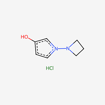 Cl.Oc1ccn(N2CCC2)c1